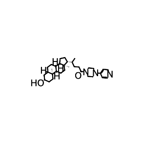 CC(CCC(=O)N1CCN(c2ccncc2)CC1)[C@H]1CC[C@H]2[C@@H]3CC[C@H]4C[C@@H](O)CC[C@]4(C)[C@H]3CC[C@]12C